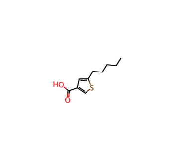 CCCCCc1cc(C(=O)O)cs1